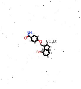 CCOC(=O)C1=C(COc2ccc(C(N)=O)cc2)c2c(Br)cccc2C1